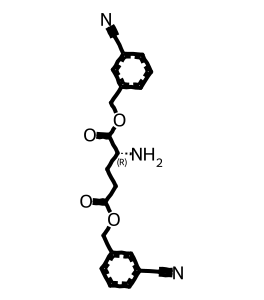 N#Cc1cccc(COC(=O)CC[C@@H](N)C(=O)OCc2cccc(C#N)c2)c1